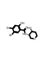 CCc1cc(O)c(C(=O)N[C@H]2COCC[C@@H]2O)cc1Br